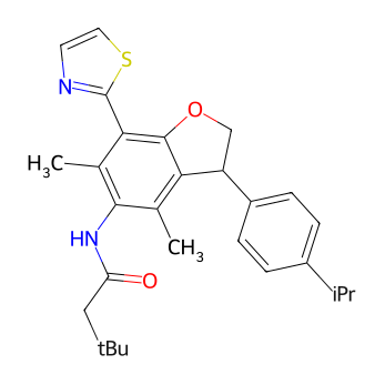 Cc1c(NC(=O)CC(C)(C)C)c(C)c2c(c1-c1nccs1)OCC2c1ccc(C(C)C)cc1